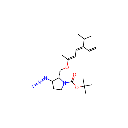 C=C/C(=C\C=C(/C)OC[C@H]1C(N=[N+]=[N-])CCN1C(=O)OC(C)(C)C)C(C)C